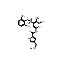 C=N/C(OC)=C(\C=C(/C)NC(=O)c1cc(COC)c[nH]1)S(=O)(=O)Nc1c(C)cccc1C